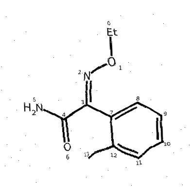 CCO/N=C(/C(N)=O)c1ccccc1C